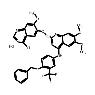 COc1cc2ncnc(Cl)c2cc1OC.COc1cc2ncnc(Nc3ccc(OCc4ccccc4)c(C(F)(F)F)c3)c2cc1OC.Cl